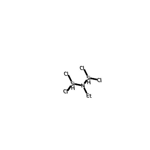 CCN([SiH](Cl)Cl)[SiH](Cl)Cl